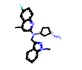 Cc1cc(N(Cc2nn(C)c3ccccc23)[C@H]2CC[C@H](N)C2)nc2ccc(F)cc12